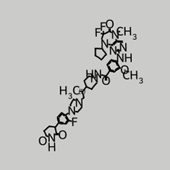 COc1cc(C(=O)NN2CCC([C@H](C)CN3CCN(c4ccc(C5CCC(=O)NC5=O)cc4F)CC3)CC2)ccc1Nc1ncc2c(n1)N(C1CCCC1)CC(F)(F)C(=O)N2C